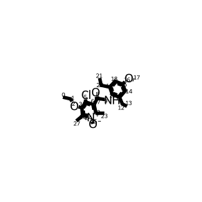 CCOc1c(Cl)c(C(=O)Nc2c(CC)cc(OC)cc2CC)c(C)[n+]([O-])c1C